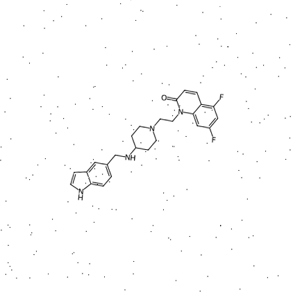 O=c1ccc2c(F)cc(F)cc2n1CCN1CCC(NCc2ccc3[nH]ccc3c2)CC1